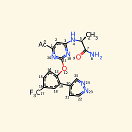 CC(=O)c1cc(N[C@@H](C)C(N)=O)nc(Oc2ccc(C(F)(F)F)cc2-c2ccnnc2)n1